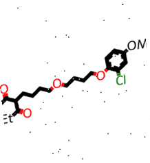 CCC(=O)C(CCCCOCCCCOc1ccc(OC)cc1Cl)C(=O)CC